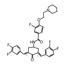 O=C1/C(=C/c2ccc(F)c(F)c2)CC(NC(=O)c2ccc(OCCN3CCCCC3)c(F)c2)C/C1=C\c1ccc(F)c(F)c1